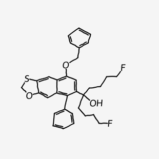 OC(CCCCF)(CCCCF)c1cc(OCc2ccccc2)c2cc3c(cc2c1-c1ccccc1)OCS3